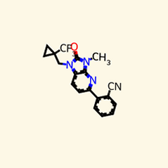 Cn1c(=O)n(CC2(C(F)(F)F)CC2)c2ccc(-c3ccccc3C#N)nc21